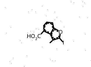 Cc1c(I)oc2cccc(C(=O)O)c12